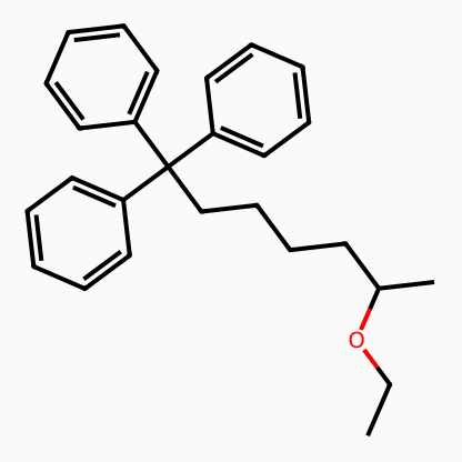 CCOC(C)CCCCC(c1ccccc1)(c1ccccc1)c1ccccc1